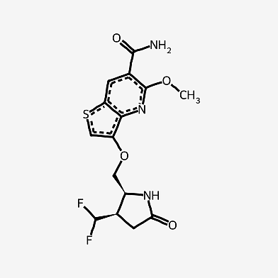 COc1nc2c(OC[C@H]3NC(=O)C[C@H]3C(F)F)csc2cc1C(N)=O